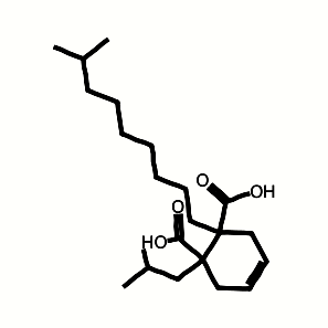 CC(C)CCCCCCCC1(C(=O)O)CC=CCC1(CC(C)C)C(=O)O